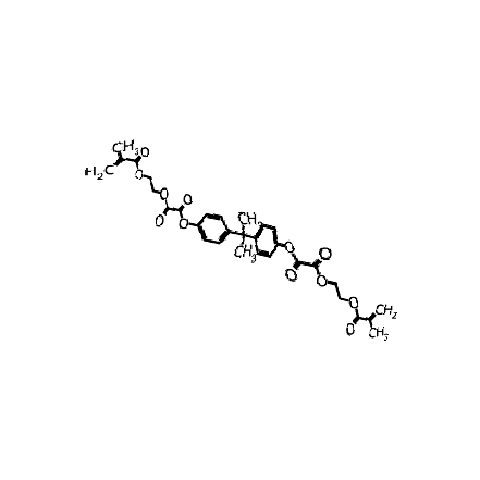 C=C(C)C(=O)OCCOC(=O)C(=O)Oc1ccc(C(C)(C)c2ccc(OC(=O)C(=O)OCCOC(=O)C(=C)C)cc2)cc1